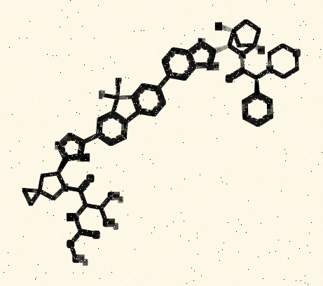 COC(=O)NC(C(=O)N1CC2(CC2)C[C@H]1c1ncc(-c2ccc3c(c2)C(F)(F)c2cc(-c4ccc5nc([C@@H]6[C@H]7CC[C@H](C7)N6C(=O)[C@H](c6ccccc6)N6CCOCC6)[nH]c5c4)ccc2-3)[nH]1)C(C)C